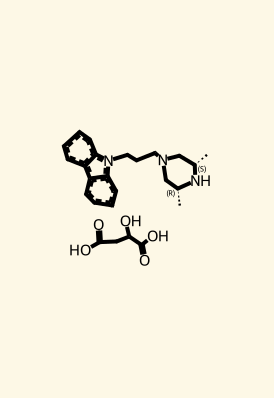 C[C@@H]1CN(CCCn2c3ccccc3c3ccccc32)C[C@H](C)N1.O=C(O)CC(O)C(=O)O